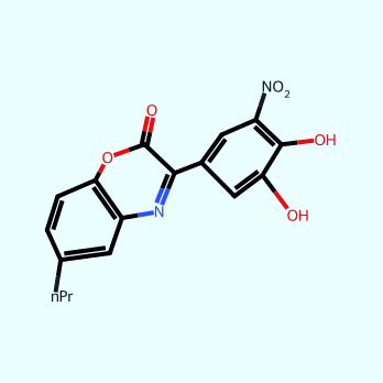 CCCc1ccc2oc(=O)c(-c3cc(O)c(O)c([N+](=O)[O-])c3)nc2c1